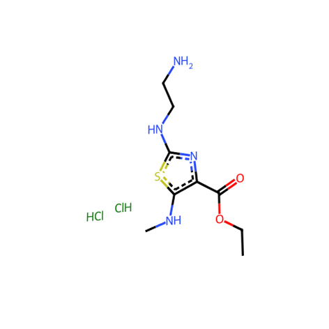 CCOC(=O)c1nc(NCCN)sc1NC.Cl.Cl